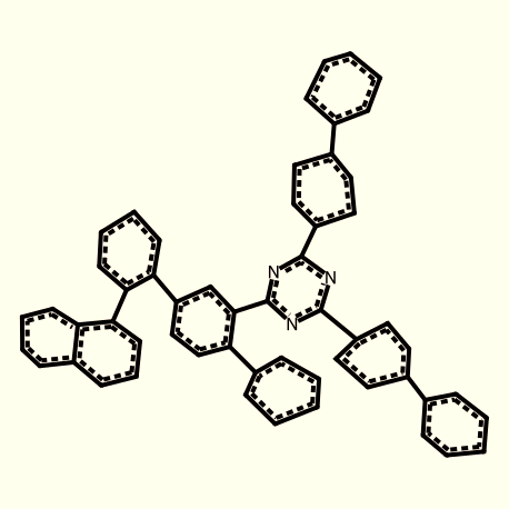 c1ccc(-c2ccc(-c3nc(-c4ccc(-c5ccccc5)cc4)nc(-c4cc(-c5ccccc5-c5cccc6ccccc56)ccc4-c4ccccc4)n3)cc2)cc1